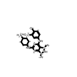 CC(C)N1NN(C(C)C)c2c(Nc3ccc(Cl)c(C(=O)O)c3)nc(NC3CCC(N)CC3)nc21